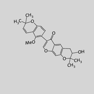 COc1c(-c2coc3cc4c(cc3c2=O)CC(O)C(C)(C)O4)ccc2c1C=CC(C)(C)O2